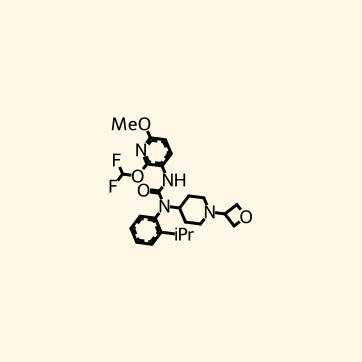 COc1ccc(NC(=O)N(c2ccccc2C(C)C)C2CCN(C3COC3)CC2)c(OC(F)F)n1